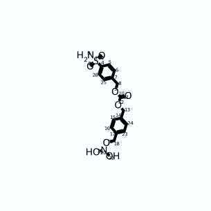 NS(=O)(=O)c1ccc(COC(=O)OCc2ccc(CON(O)O)cc2)cc1